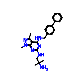 Cc1nn(C)c2nc(NCC(C)(C)N)nc(NCc3ccc(-c4ccccc4)cc3)c12